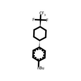 CCCCc1ccc([C@H]2CC[C@H](C(F)(F)C(F)(F)F)CC2)cc1